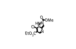 CCOC(=O)C1=C(Cl)N2NN(C(=O)OC)C=C2N=C1